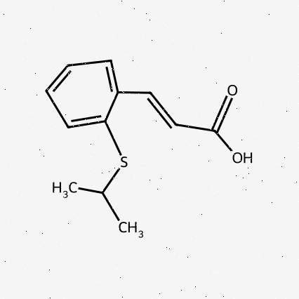 CC(C)Sc1ccccc1C=CC(=O)O